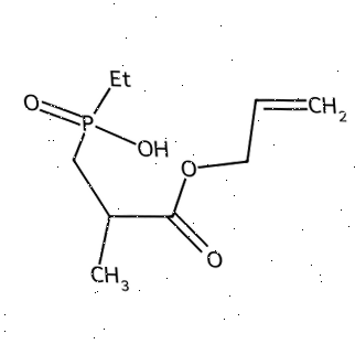 C=CCOC(=O)C(C)CP(=O)(O)CC